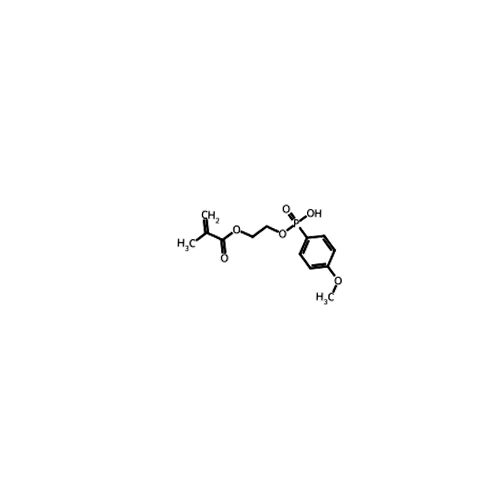 C=C(C)C(=O)OCCOP(=O)(O)c1ccc(OC)cc1